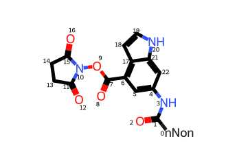 CCCCCCCCCC(=O)Nc1cc(C(=O)ON2C(=O)CCC2=O)c2cc[nH]c2c1